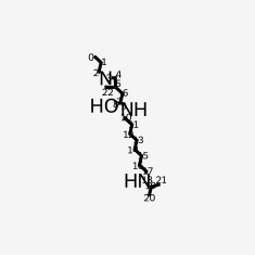 CCCN1CC(CC(O)NCCCCCCCCNC(C)C)C1